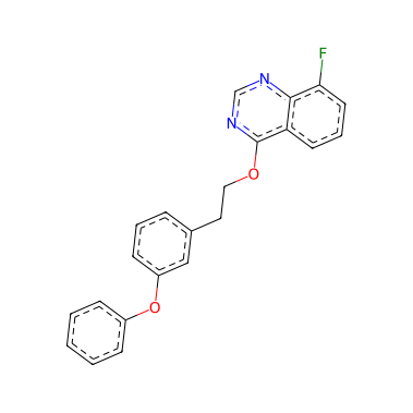 Fc1cccc2c(OCCc3cccc(Oc4ccccc4)c3)ncnc12